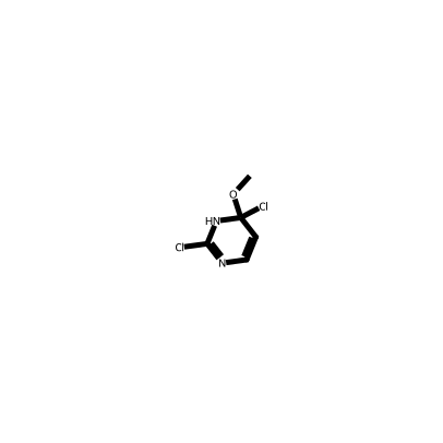 COC1(Cl)C=CN=C(Cl)N1